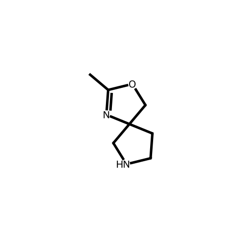 CC1=NC2(CCNC2)CO1